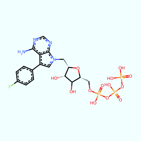 Nc1ncnc2c1c(-c1ccc(F)cc1)cn2C[C@@H]1O[C@H](COP(=O)(O)OP(=O)(O)OP(=O)(O)O)C(O)[C@@H]1O